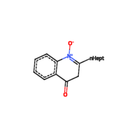 CCCCCCCC1=[N+]([O-])c2ccccc2C(=O)C1